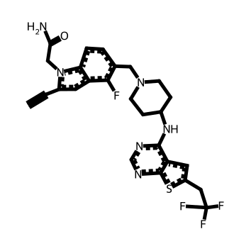 C#Cc1cc2c(F)c(CN3CCC(Nc4ncnc5sc(CC(F)(F)F)cc45)CC3)ccc2n1CC(N)=O